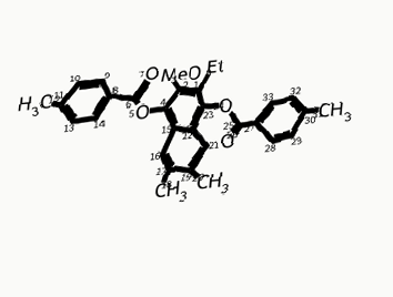 CCc1c(OC)c(OC(=O)c2ccc(C)cc2)c2cc(C)c(C)cc2c1OC(=O)c1ccc(C)cc1